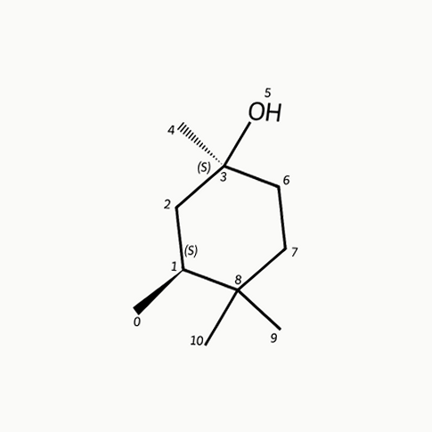 C[C@H]1C[C@@](C)(O)CCC1(C)C